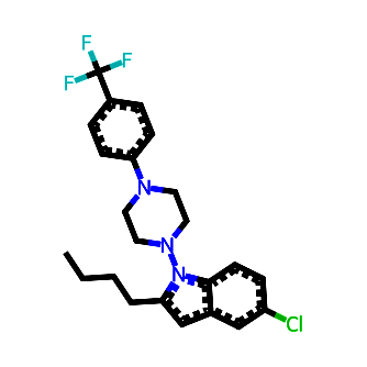 CCCCc1cc2cc(Cl)ccc2n1N1CCN(c2ccc(C(F)(F)F)cc2)CC1